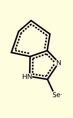 [Se]c1nc2ccccc2[nH]1